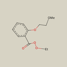 CCOOC(=O)c1ccccc1OCCOC